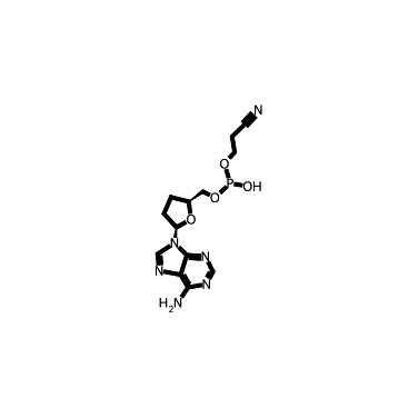 N#CCCOP(O)OC[C@@H]1CC[C@H](n2cnc3c(N)ncnc32)O1